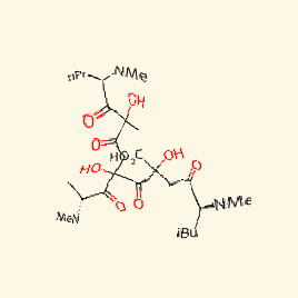 CCC[C@@H](NC)C(=O)C(C)(O)C(=O)CC(O)(C(=O)[C@@H](C)NC)C(=O)C(O)(CC(=O)[C@@H](NC)C(C)CC)C(=O)O